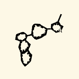 Cc1cncc(-c2ccc(-c3cccc4cc5ccccc5cc34)cc2)c1